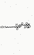 CCCCCCCCC=CCCCCCCCNC(=O)N1CCN(C(=O)CCNC(=O)C2OC(C)(C)OCC2(C)C)CC1